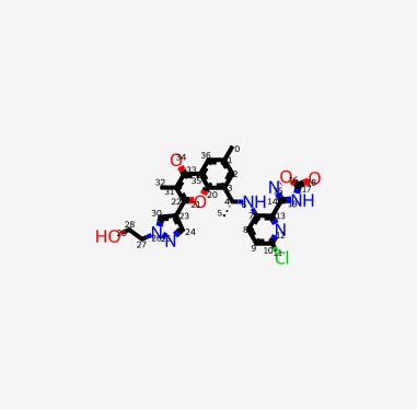 Cc1cc([C@@H](C)Nc2ccc(Cl)nc2-c2noc(=O)[nH]2)c2oc(-c3cnn(CCO)c3)c(C)c(=O)c2c1